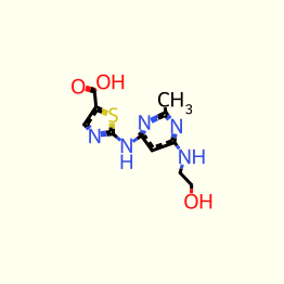 Cc1nc(NCCO)cc(Nc2ncc(C(=O)O)s2)n1